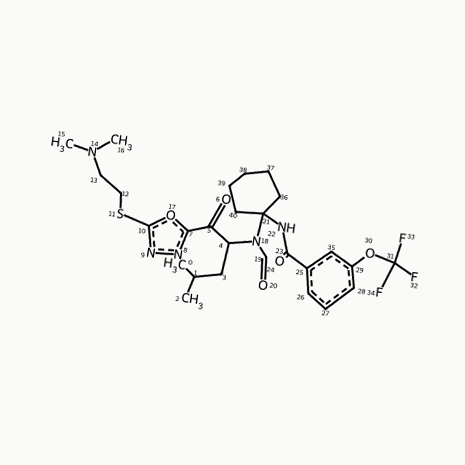 CC(C)CC(C(=O)c1nnc(SCCN(C)C)o1)N(C=O)C1(NC(=O)c2cccc(OC(F)(F)F)c2)CCCCC1